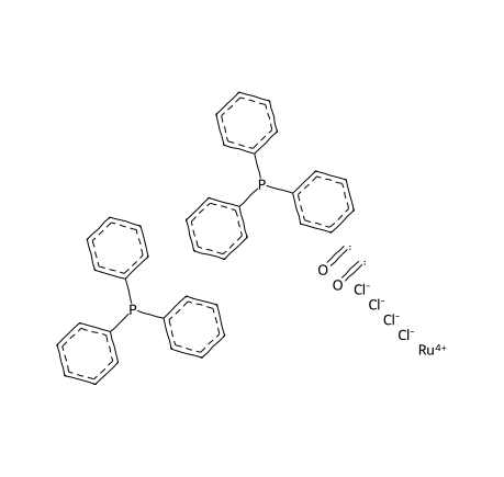 [C]=O.[C]=O.[Cl-].[Cl-].[Cl-].[Cl-].[Ru+4].c1ccc(P(c2ccccc2)c2ccccc2)cc1.c1ccc(P(c2ccccc2)c2ccccc2)cc1